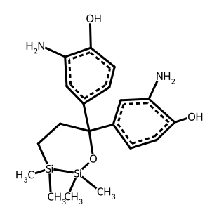 C[Si]1(C)CCC(c2ccc(O)c(N)c2)(c2ccc(O)c(N)c2)O[Si]1(C)C